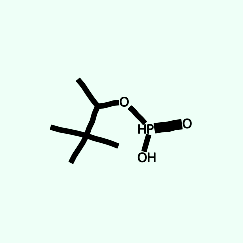 CC(O[PH](=O)O)C(C)(C)C